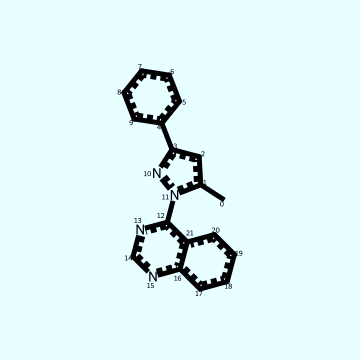 Cc1cc(-c2ccccc2)nn1-c1ncnc2ccccc12